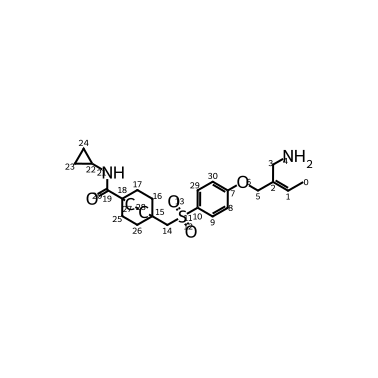 C/C=C(\CN)COc1ccc(S(=O)(=O)CC23CCC(C(=O)NC4CC4)(CC2)CC3)cc1